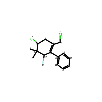 CC1(C)C(Cl)CC(CCl)=C(c2ccccc2)C1F